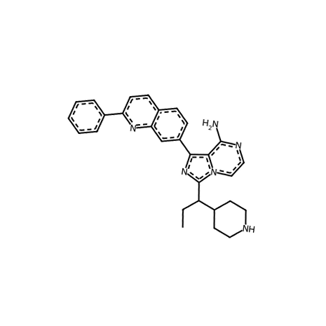 CCC(c1nc(-c2ccc3ccc(-c4ccccc4)nc3c2)c2c(N)nccn12)C1CCNCC1